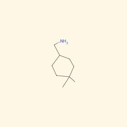 CC1(C)CCC(CN)CC1